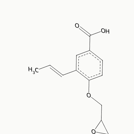 CC=Cc1cc(C(=O)O)ccc1OCC1CO1